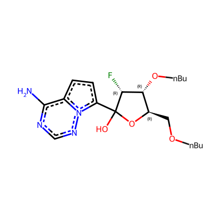 CCCCOC[C@H]1OC(O)(c2ccc3c(N)ncnn23)[C@H](F)[C@@H]1OCCCC